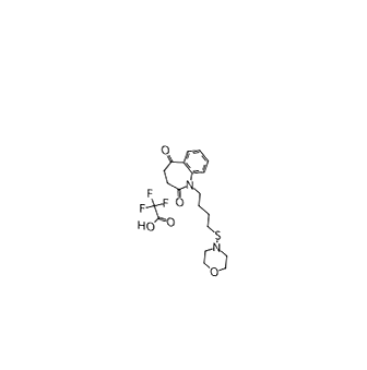 O=C(O)C(F)(F)F.O=C1CCC(=O)N(CCCCSN2CCOCC2)c2ccccc21